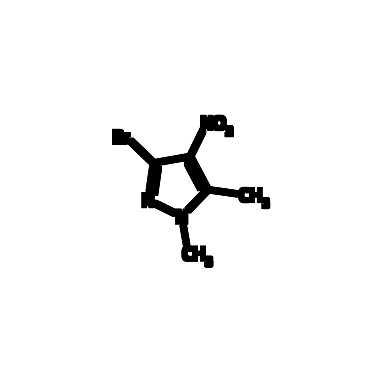 Cc1c([N+](=O)[O-])c(Br)nn1C